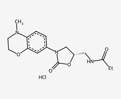 CCC(=O)NC[C@H]1CN(c2ccc3c(c2)OCCN3C)C(=O)O1.Cl